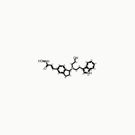 O=C(/C=C/c1ccc2c(c1)CCC2N(CCO)CCc1c[nH]c2ccccc12)NO